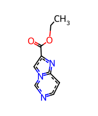 CCOC(=O)c1cn2cnccc2n1